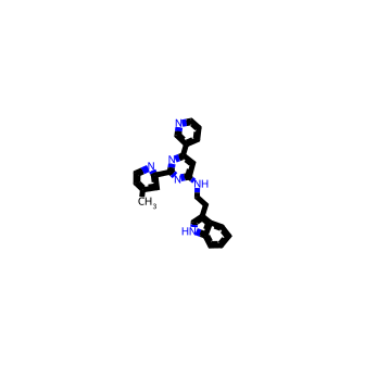 Cc1ccnc(-c2nc(NCCc3c[nH]c4ccccc34)cc(-c3cccnc3)n2)c1